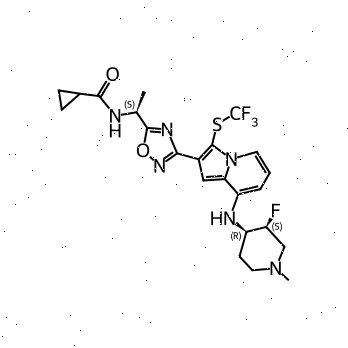 C[C@H](NC(=O)C1CC1)c1nc(-c2cc3c(N[C@@H]4CCN(C)C[C@@H]4F)cccn3c2SC(F)(F)F)no1